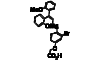 COc1ccccc1C(=CCSc1ccc(OCC(=O)O)cc1Br)c1ccccc1OC